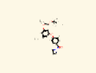 C[C@@H](CO[Si](C)(C)C(C)(C)C)Oc1cc(Oc2ccc(C(=O)N3CCC3)cc2F)cc(C(=O)O)c1